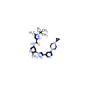 Cc1ncc(NC(=O)c2cc(C)n(C(C)(C)C)n2)cc1-n1cc(-c2cncc(N3CCN(C4CC4)CC3)c2)nn1